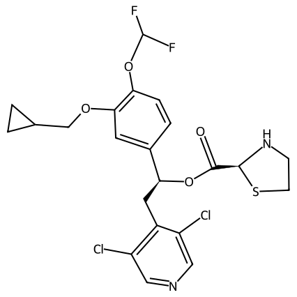 O=C(O[C@@H](Cc1c(Cl)cncc1Cl)c1ccc(OC(F)F)c(OCC2CC2)c1)[C@H]1NCCS1